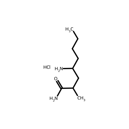 CCCCC(N)CC(C)C(N)=O.Cl